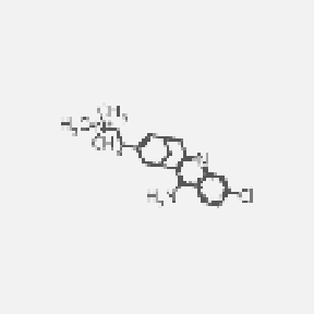 C[N+](C)(C)CCC1=CC2Cc3nc4cc(Cl)ccc4c(N)c3C(C1)C2